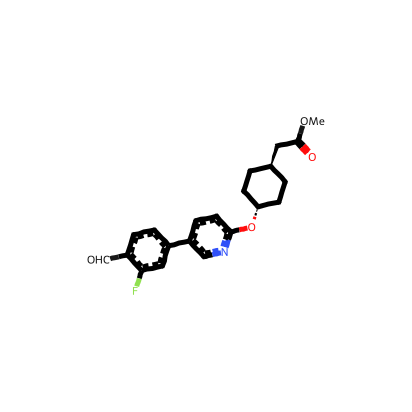 COC(=O)C[C@H]1CC[C@H](Oc2ccc(-c3ccc(C=O)c(F)c3)cn2)CC1